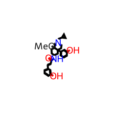 COC12CCC(NC(=O)/C=C/c3cccc(O)c3)CC1(c1cccc(O)c1)CCN(CC1CC1)C2